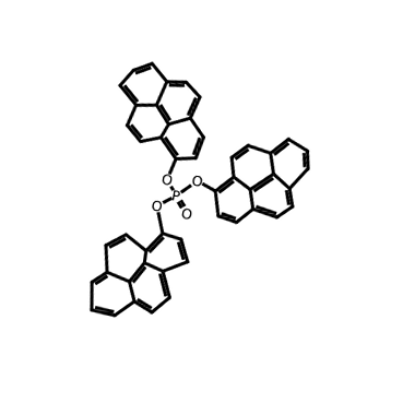 O=P(Oc1ccc2ccc3cccc4ccc1c2c34)(Oc1ccc2ccc3cccc4ccc1c2c34)Oc1ccc2ccc3cccc4ccc1c2c34